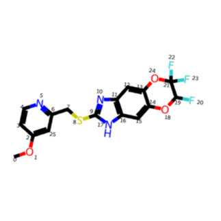 COc1ccnc(CSc2nc3cc4c(cc3[nH]2)OC(F)C(F)(F)O4)c1